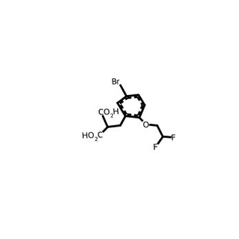 O=C(O)C(Cc1cc(Br)ccc1OCC(F)F)C(=O)O